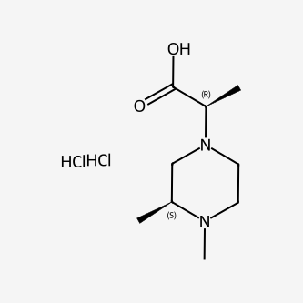 C[C@H](C(=O)O)N1CCN(C)[C@@H](C)C1.Cl.Cl